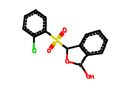 O=S(=O)(c1ccccc1Cl)C1OB(O)c2ccccc21